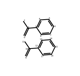 C=C(C)c1ccccc1.C=C(C)c1ccccc1